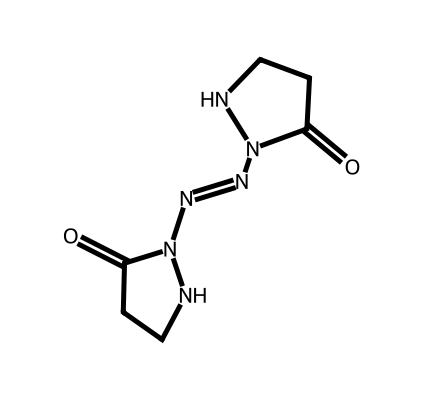 O=C1CCNN1N=NN1NCCC1=O